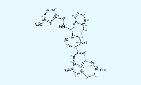 CCc1cn2c3c(cc(C(=O)N[C@@H](Cc4ccccc4)[C@H](O)CNCc4cccc(OC)c4)cc13)NC(=O)CC2